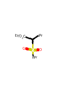 CCCS(=O)(=O)C(C(=O)OCC)C(C)C